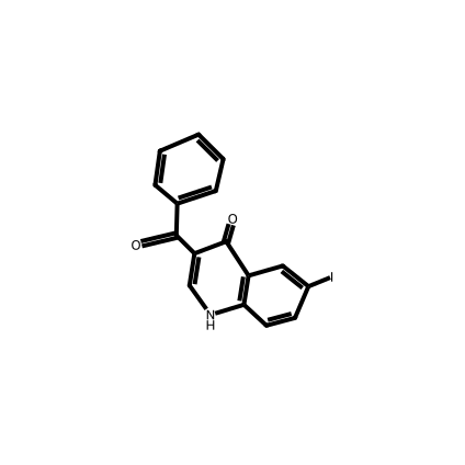 O=C(c1ccccc1)c1c[nH]c2ccc(I)cc2c1=O